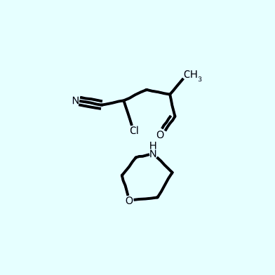 C1COCCN1.CC(C=O)CC(Cl)C#N